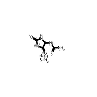 NC(=O)NC1NC(=O)NC1=O.[CaH2].[NaH]